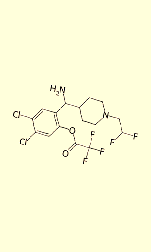 NC(c1cc(Cl)c(Cl)cc1OC(=O)C(F)(F)F)C1CCN(CC(F)F)CC1